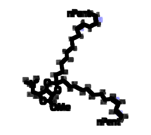 CCCCC/C=C\C/C=C\CCCCCCCCC1(CCCCCCCC/C=C\C=C\CCCCC)OC2C(CN(C)C)OC(OC)C2O1